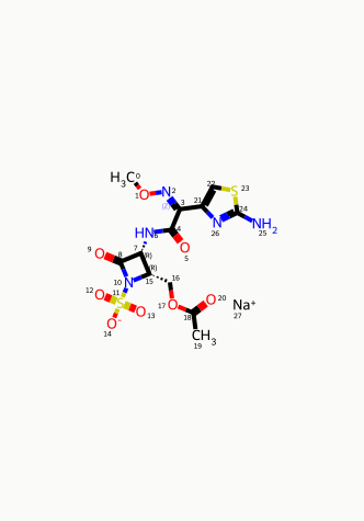 CO/N=C(\C(=O)N[C@H]1C(=O)N(S(=O)(=O)[O-])[C@H]1COC(C)=O)c1csc(N)n1.[Na+]